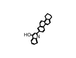 Oc1cc(-c2ccc3c(ccc4c5c(ccc43)CCCC5)c2)nc2ccccc12